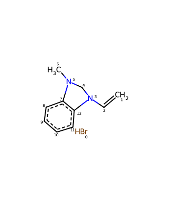 Br.C=CN1CN(C)c2ccccc21